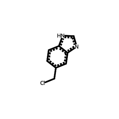 ClCc1ccc2[nH]cnc2c1